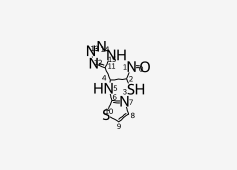 O=NC(S)C(Nc1nccs1)c1nnn[nH]1